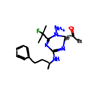 CCC(=O)[C@@H]1N=C(NC(C)CCc2ccccc2)N=C(C(C)(C)F)N1N